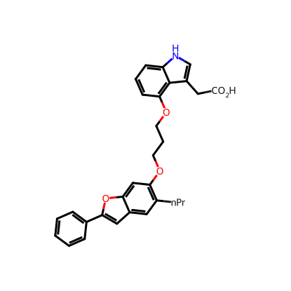 CCCc1cc2cc(-c3ccccc3)oc2cc1OCCCOc1cccc2[nH]cc(CC(=O)O)c12